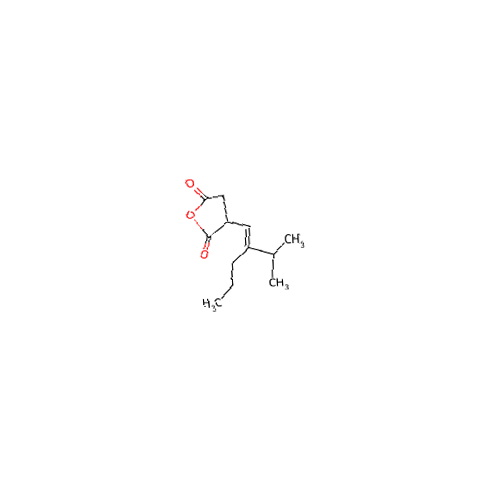 CCCC(=CC1CC(=O)OC1=O)C(C)C